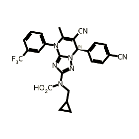 CC1=C(C#N)[C@@H](c2ccc(C#N)cc2)n2nc(N(CC3CC3)C(=O)O)nc2N1c1cccc(C(F)(F)F)c1